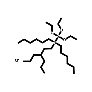 CCCCCC[N+](CCCCCC)(CCC(CCC)CCC)[Si](OCC)(OCC)OCC.[Cl-]